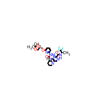 C[C@@H](NC(=O)c1ncc2c(n1)N(C(=O)Nc1cccc(OC[C@H]3COC(C)(C)O3)n1)[C@H]1CCCN2C1)C(F)(F)F